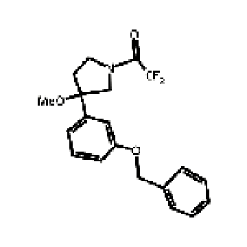 COC1(c2cccc(OCc3ccccc3)c2)CCN(C(=O)C(F)(F)F)C1